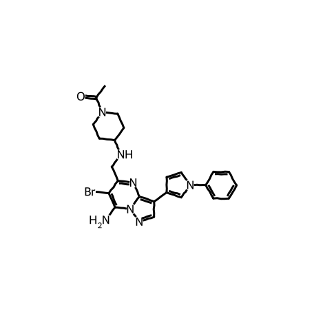 CC(=O)N1CCC(NCc2nc3c(-c4ccn(-c5ccccc5)c4)cnn3c(N)c2Br)CC1